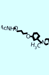 CC(=O)NOCCCCOc1cccc(C(C)N2CCCC2)c1